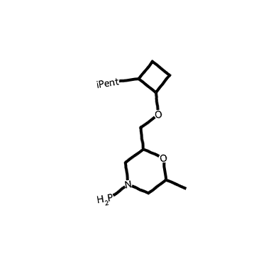 CCCC(C)C1CCC1OCC1CN(P)CC(C)O1